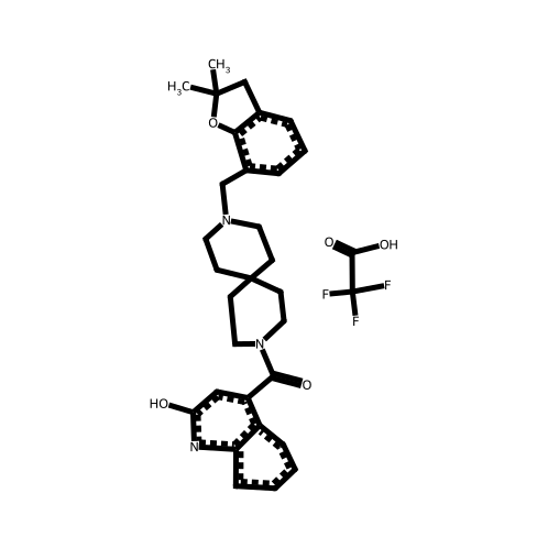 CC1(C)Cc2cccc(CN3CCC4(CC3)CCN(C(=O)c3cc(O)nc5ccccc35)CC4)c2O1.O=C(O)C(F)(F)F